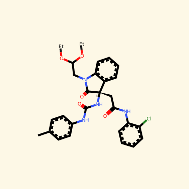 CCOC(CN1C(=O)[C@@](CC(=O)Nc2ccccc2Cl)(NC(=O)Nc2ccc(C)cc2)c2ccccc21)OCC